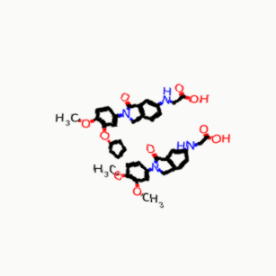 COc1ccc(N2Cc3ccc(NCC(=O)O)cc3C2=O)cc1OC.COc1ccc(N2Cc3ccc(NCC(=O)O)cc3C2=O)cc1OC1CCCC1